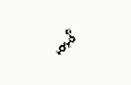 O=C(Nc1ccc(C(F)(F)F)cc1)c1cccc(-n2ccnc2)n1